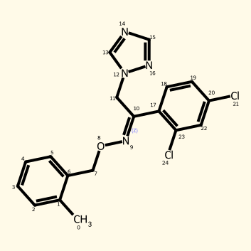 Cc1ccccc1CO/N=C(\Cn1cncn1)c1ccc(Cl)cc1Cl